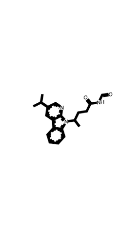 CC(C)c1cnc2c(c1)c1ccccc1n2C(C)CCC(=O)NC=O